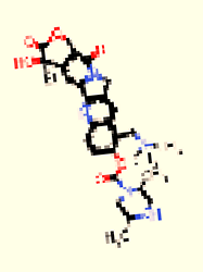 CC[C@@]1(O)C(=O)OCc2c1cc1n(c2=O)Cc2cc3c(CN(C)C)c(OC(=O)N4C[C@@H](C)NC[C@@H]4C)ccc3nc2-1